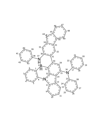 B1c2ccccc2-n2c3ccccc3c3c(N(c4ccccc4)c4ccccc4)cc(-c4cc5c(cc4Nc4ccccc4)sc4ccccc45)c1c32